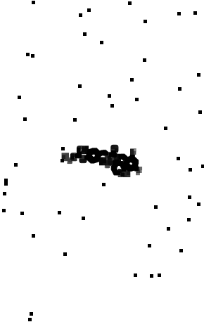 CC(C)Oc1ccc(CNC(=O)N(Cc2ccc(F)cc2F)C2(C)CCNCC2)cc1